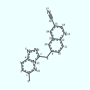 Cc1ccc2nnc(Cc3ccc4ncc(C#N)cc4c3)n2n1